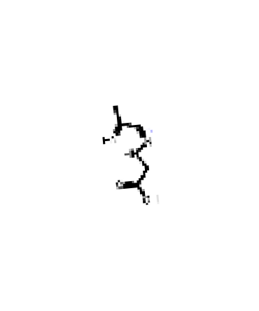 CC(=N)/C=N\NCC(=O)O